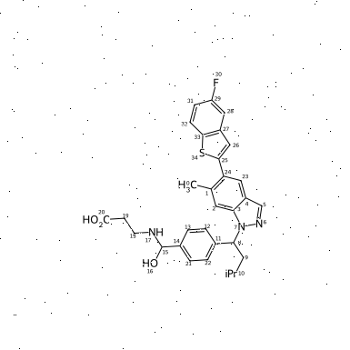 Cc1cc2c(cnn2C(CC(C)C)c2ccc(C(O)NCCC(=O)O)cc2)cc1-c1cc2cc(F)ccc2s1